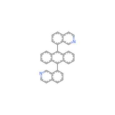 c1cc(-c2c3ccccc3c(-c3cccc4ccncc34)c3ccccc23)c2cnccc2c1